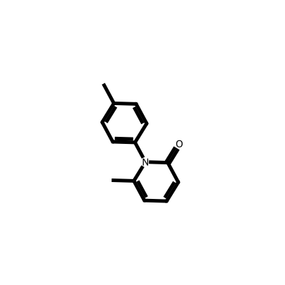 Cc1ccc(-n2c(C)cccc2=O)cc1